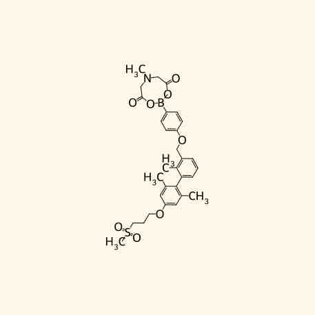 Cc1cc(OCCCS(C)(=O)=O)cc(C)c1-c1cccc(COc2ccc(B3OC(=O)CN(C)CC(=O)O3)cc2)c1C